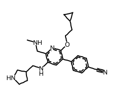 CNCc1nc(OCCC2CC2)c(-c2ccc(C#N)cc2)cc1NCC1CCNC1